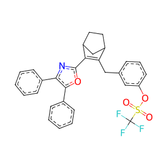 O=S(=O)(Oc1cccc(CC2=C(c3nc(-c4ccccc4)c(-c4ccccc4)o3)C3CCC2C3)c1)C(F)(F)F